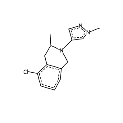 CC1Cc2c(Cl)cccc2CN1c1cnn(C)c1